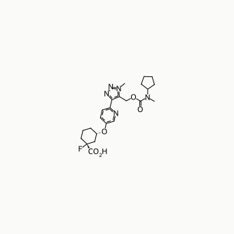 CN(C(=O)OCc1c(-c2ccc(O[C@H]3CCC[C@](F)(C(=O)O)C3)cn2)nnn1C)C1CCCC1